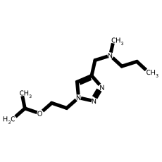 CCCN(C)Cc1cn(CCOC(C)C)nn1